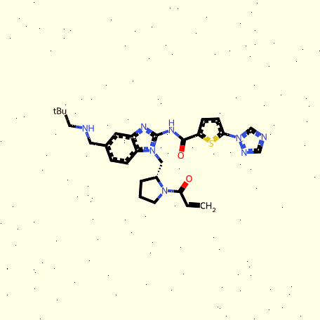 C=CC(=O)N1CCC[C@@H]1Cn1c(NC(=O)c2ccc(-n3cncn3)s2)nc2cc(CNCC(C)(C)C)ccc21